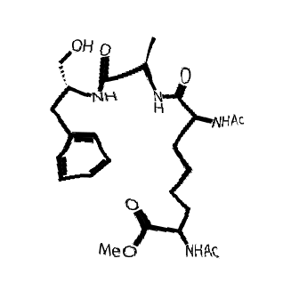 COC(=O)C(CCCCC(NC(C)=O)C(=O)N[C@H](C)C(=O)N[C@@H](CO)Cc1ccccc1)NC(C)=O